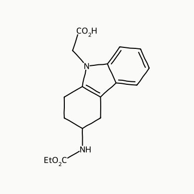 CCOC(=O)NC1CCc2c(c3ccccc3n2CC(=O)O)C1